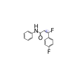 O=C(/C=C(/F)c1ccc(F)cc1)Nc1ccccc1